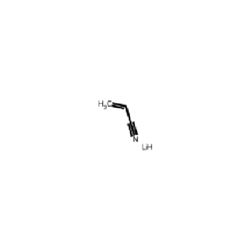 C=CC#N.[LiH]